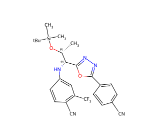 C[C@@H](O[Si](C)(C)C(C)(C)C)[C@@H](Nc1ccc(C#N)c(C(F)(F)F)c1)c1nnc(-c2ccc(C#N)cc2)o1